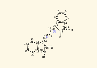 CC1=[N+](C)c2ccccc2/C1=C/C=C/c1c(C)n(C)c2ccccc12